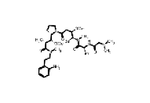 CC[C@H](C)[C@@H]([C@@H](CC(=O)N1CCC[C@H]1[C@H](OC)[C@@H](C)C(=O)N(C)CCc1ccccc1N)OC)N(C)C(=O)[C@@H](NC(=O)CN(C)C)C(C)C